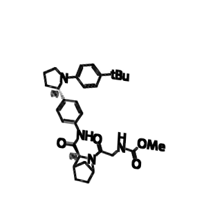 COC(=O)NCC(=O)N1C2CCC(C2)[C@H]1C(=O)Nc1ccc([C@@H]2CCCN2c2ccc(C(C)(C)C)cc2)cc1